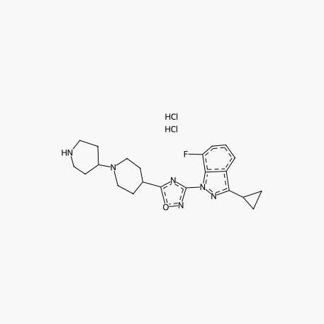 Cl.Cl.Fc1cccc2c(C3CC3)nn(-c3noc(C4CCN(C5CCNCC5)CC4)n3)c12